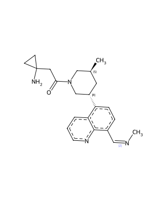 C/N=C\c1ccc([C@H]2C[C@H](C)CN(C(=O)CC3(N)CC3)C2)c2cccnc12